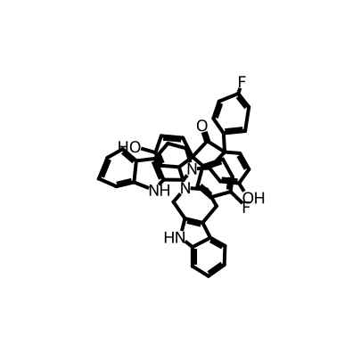 O=C(C1(c2ccc(F)cc2)C=CC(O)=CC1N1CCc2c([nH]c3ccccc23)C1)C1(c2ccc(F)cc2)C=CC(O)=CC1N1CCc2c([nH]c3ccccc23)C1